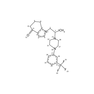 CC(Cn1ccc2c1CCCC2=O)N1CCN(c2cccc(C(F)(F)F)c2)CC1